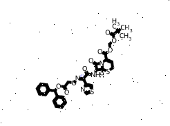 CC(C)(C)C(=O)OCOC(=O)C1=CCS[C@@H]2C(NC(=O)/C(=N/OCC(=O)OC(c3ccccc3)c3ccccc3)c3cscn3)C(=O)N12